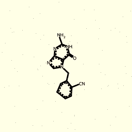 N#Cc1ccccc1Cn1cnc2nc(N)[nH]c(=O)c21